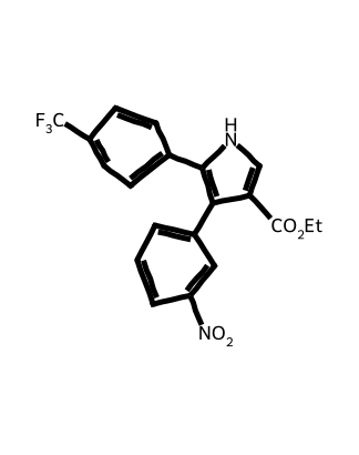 CCOC(=O)c1c[nH]c(-c2ccc(C(F)(F)F)cc2)c1-c1cccc([N+](=O)[O-])c1